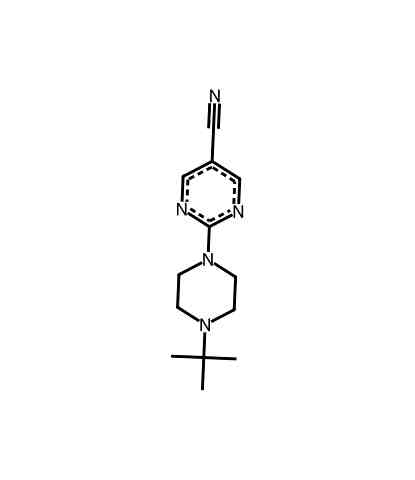 CC(C)(C)N1CCN(c2ncc(C#N)cn2)CC1